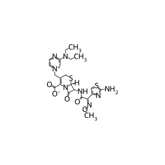 CCN(CC)c1c[n+](CC2=C(C(=O)[O-])N3C(=O)C(NC(=O)/C(=N\OC)c4csc(N)n4)[C@H]3SC2)ccn1